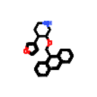 c1ccc2c(COC3CNCCC3c3ccoc3)c3ccccc3cc2c1